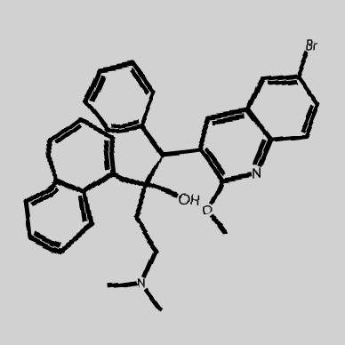 COc1nc2ccc(Br)cc2cc1[C@H](c1ccccc1)C(O)(CCN(C)C)c1cccc2ccccc12